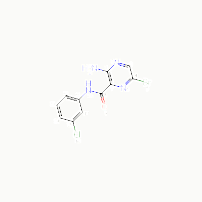 Nc1ncc(Br)nc1C(=O)Nc1cccc(Cl)c1